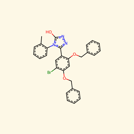 Cc1ccccc1-n1c(O)nnc1-c1cc(Br)c(OCc2ccccc2)cc1OCc1ccccc1